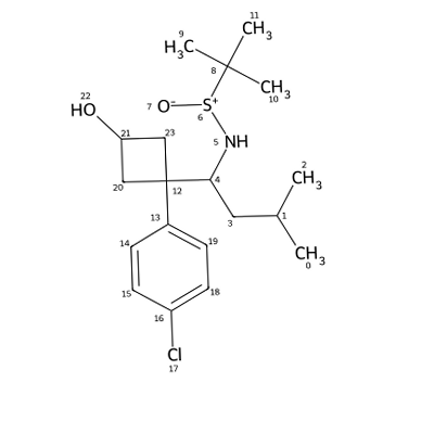 CC(C)CC(N[S+]([O-])C(C)(C)C)C1(c2ccc(Cl)cc2)CC(O)C1